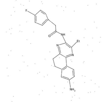 CCc1nc2c(nc1NC(=O)Cc1ccc(F)cc1)CCc1cc(N)ccc1-2